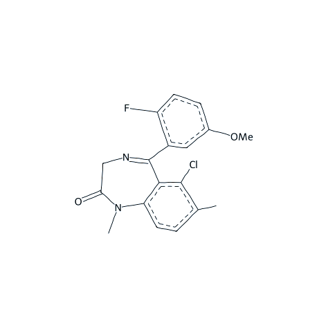 COc1ccc(F)c(C2=NCC(=O)N(C)c3ccc(C)c(Cl)c32)c1